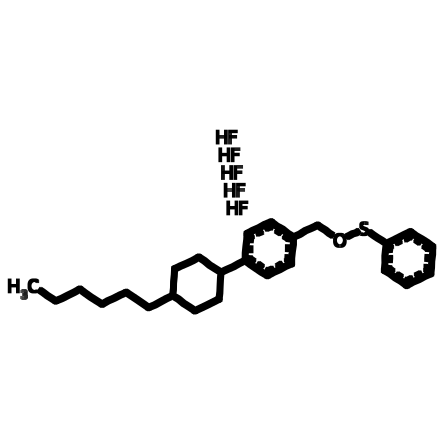 CCCCCCC1CCC(c2ccc(COSc3ccccc3)cc2)CC1.F.F.F.F.F